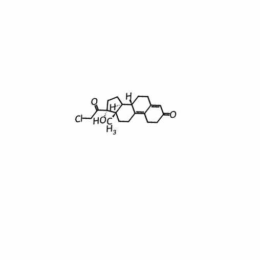 C[C@]12CCC3=C4CCC(=O)C=C4CC[C@H]3[C@@H]1CC[C@]2(O)C(=O)CCl